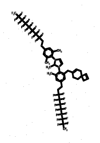 Cc1cc(CCC(F)(F)C(F)(F)C(F)(F)C(F)(F)C(F)(F)C(F)(F)C(F)(F)C(F)(F)F)cc(C)c1N1C=CN(c2c(C)cc(CCC(F)(F)C(F)(F)C(F)(F)C(F)(F)C(F)(F)C(F)(F)C(F)(F)C(F)(F)F)cc2CC2=CCC3(C=CC3)CC2)C1C